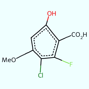 COc1cc(O)c(C(=O)O)c(F)c1Cl